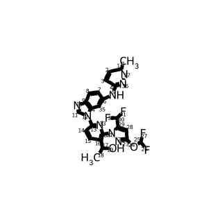 Cc1ccc(Nc2ccc3ncn(-c4ccc(C(C)O)c(-n5nc(OC(F)F)cc5C(F)F)n4)c3c2)nn1